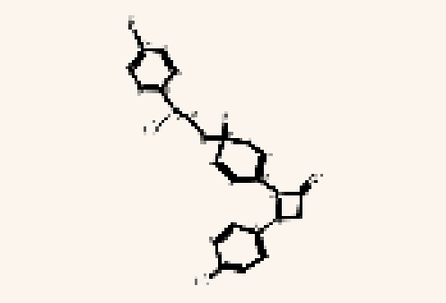 O=C1C[C@@H](c2ccc(O)cc2)N1C1=CCC(F)(CC[C@H](O)c2ccc(F)cc2)C=C1